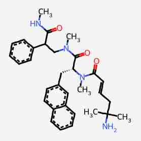 CNC(=O)C(CN(C)C(=O)[C@@H](Cc1ccc2ccccc2c1)N(C)C(=O)/C=C/CC(C)(C)N)c1ccccc1